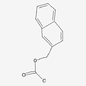 O=C(Cl)OCc1ccc2ccccc2c1